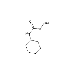 CCCCOC(=O)NC1CCCCC1